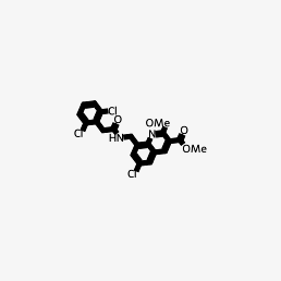 COC(=O)c1cc2cc(Cl)cc(CNC(=O)Cc3c(Cl)cccc3Cl)c2nc1OC